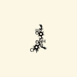 C#CCOc1ccc(CCNC(=O)C(OCC#C)c2ccc(Cl)c(F)c2)cc1OC